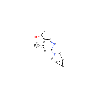 CC(O)c1cnc(N2CC3CC3C2)cc1C(F)(F)F